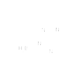 Bn1ncnn1